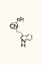 CCCC1CC2C=CC1N(CCc1c[nH]c3ccccc13)C2